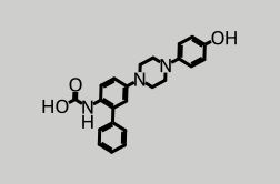 O=C(O)Nc1ccc(N2CCN(c3ccc(O)cc3)CC2)cc1-c1ccccc1